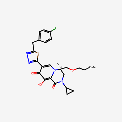 COCCOC[C@@]1(C)CN(C2CC2)C(=O)c2c(O)c(=O)c(-c3nnc(Cc4ccc(F)cc4)s3)cn21